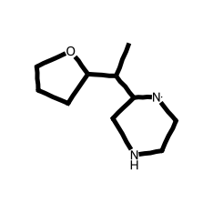 CC(C1CNCC[N]1)C1CCCO1